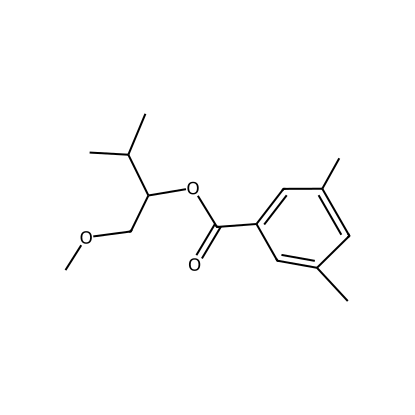 COCC(OC(=O)c1cc(C)cc(C)c1)C(C)C